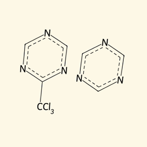 ClC(Cl)(Cl)c1ncncn1.c1ncncn1